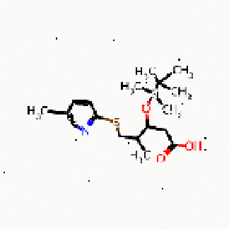 Cc1ccc(SCC(C)C(CC(=O)O)O[Si](C)(C)C(C)(C)C)nc1